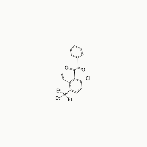 C=Cc1c(C(=O)C(=O)c2ccccc2)cccc1[N+](CC)(CC)CC.[Cl-]